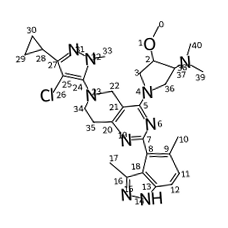 COC1CN(c2nc(-c3c(C)ccc4[nH]nc(C)c34)nc3c2CN(c2c(Cl)c(C4CC4)nn2C)CC3)CC1N(C)C